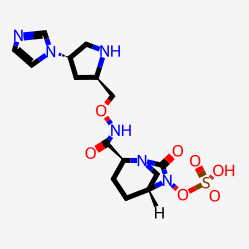 O=C(NOC[C@H]1C[C@H](n2ccnc2)CN1)[C@@H]1CC[C@@H]2CN1C(=O)N2OS(=O)(=O)O